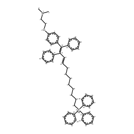 CN(C)CCOc1ccc(/C(=C(/C=CCCCCCCCC[PH](c2ccccc2)(c2ccccc2)c2ccccc2)c2ccccc2)c2ccccc2)cc1